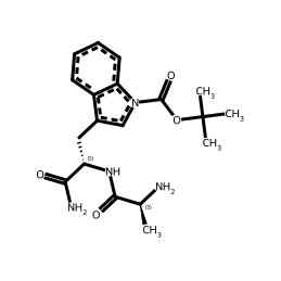 C[C@H](N)C(=O)N[C@@H](Cc1cn(C(=O)OC(C)(C)C)c2ccccc12)C(N)=O